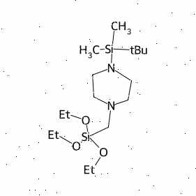 CCO[Si](CN1CCN([Si](C)(C)C(C)(C)C)CC1)(OCC)OCC